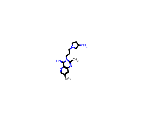 CSc1cnc2c(=N)n(CCCN3CCC(N)C3)c(C)nc2c1